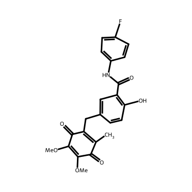 COC1=C(OC)C(=O)C(Cc2ccc(O)c(C(=O)Nc3ccc(F)cc3)c2)=C(C)C1=O